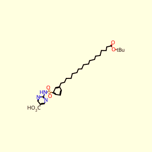 CC(C)(C)OC(=O)CCCCCCCCCCCCCCCCCc1cccc(S(=O)(=O)Nc2ncc(C(=O)O)cn2)c1